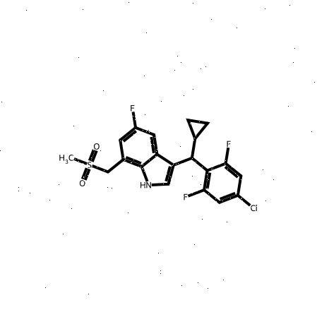 CS(=O)(=O)Cc1cc(F)cc2c(C(c3c(F)cc(Cl)cc3F)C3CC3)c[nH]c12